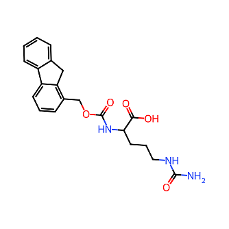 NC(=O)NCCCC(NC(=O)OCc1cccc2c1Cc1ccccc1-2)C(=O)O